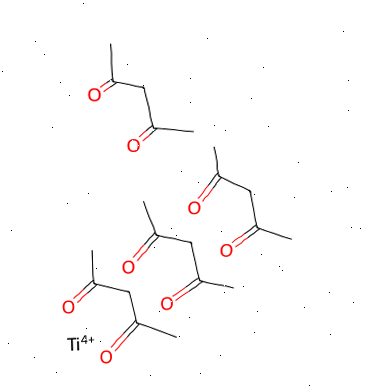 CC(=O)CC(C)=O.CC(=O)CC(C)=O.CC(=O)CC(C)=O.CC(=O)CC(C)=O.[Ti+4]